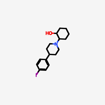 OC1CCCCC1N1CCC(c2ccc(I)cc2)CC1